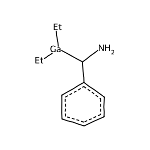 C[CH2][Ga]([CH2]C)[CH](N)c1ccccc1